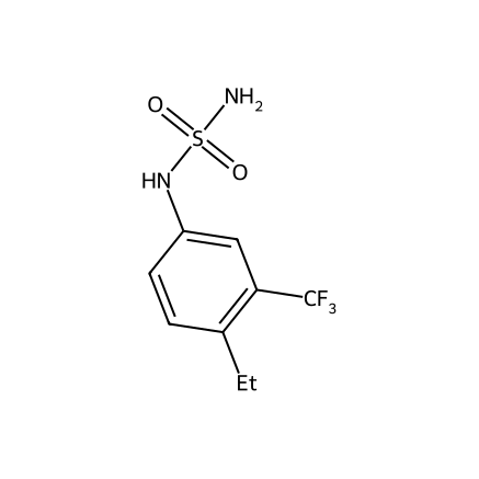 CCc1ccc(NS(N)(=O)=O)cc1C(F)(F)F